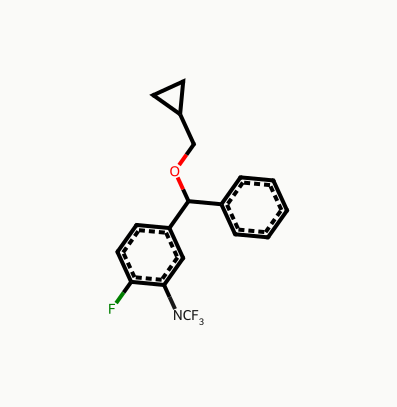 Fc1ccc(C(OCC2CC2)c2ccccc2)cc1NC(F)(F)F